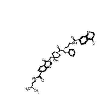 CN(C)CCNC(=O)c1ccc2c(=O)n(CC3(O)CCN(C(=O)[C@H](CCCNC(=O)c4ccc5c(Cl)ccnc5c4)Cc4ccccc4)CC3)cnc2c1